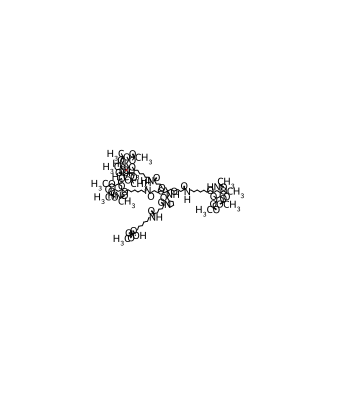 COP(=O)(O)OCCCCCCNC(=O)CCCC(=O)N1CCCC1C(=O)NC(COCCC(=O)NCCCCCCOC(OC(C)COC(C)=O)C(NC(C)=O)C(OC(C)=O)OC(C)=O)(COCCC(=O)NCCCCCCOC1OC(COC(C)=O)C(OC(C)=O)C(OC(C)=O)C1NC(C)=O)COCCC(=O)NCCCCCCOC1OC(COC(C)=O)C(OC(C)=O)C(OC(C)=O)C1NC(C)=O